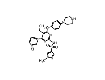 CCc1c(Oc2ccc(N3CCNCC3)cc2)nc(NS(=O)(=O)c2cnn(C)c2)nc1-c1cccc(Cl)c1